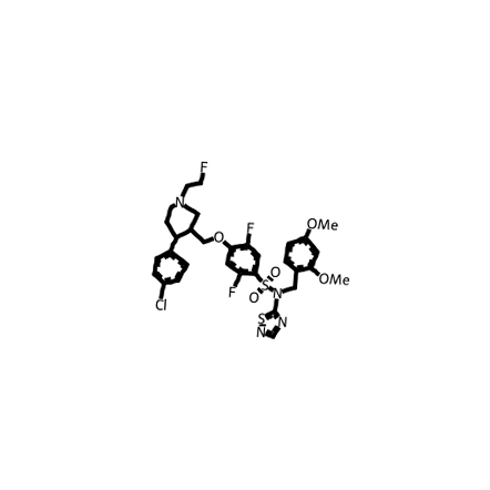 COc1ccc(CN(c2ncns2)S(=O)(=O)c2cc(F)c(OCC3CN(CCF)CCC3c3ccc(Cl)cc3)cc2F)c(OC)c1